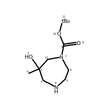 CC1(O)CNCCN(C(=O)OC(C)(C)C)C1